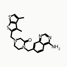 Cc1csc2sc(CN3CCN(Cc4ccc5c(N)ncnc5c4)C(=O)C3)c(C)c12